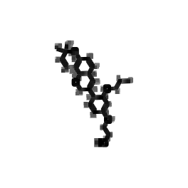 C=CCOc1cc(OCCO)ccc1C1=Cc2ccc3c(c2OC1)C=CC(C)(C)O3